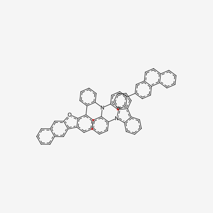 c1ccc(N(c2ccc(-c3ccc4c(ccc5ccccc54)c3)cc2)c2ccccc2-n2c3ccccc3c3ccccc32)c(-c2cccc3c2oc2cc4ccccc4cc23)c1